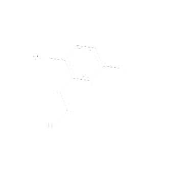 COc1ccc(S(=O)(=O)O)cc1CCO